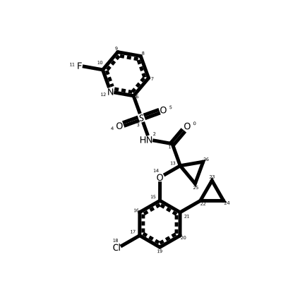 O=C(NS(=O)(=O)c1cccc(F)n1)C1(Oc2cc(Cl)ccc2C2CC2)CC1